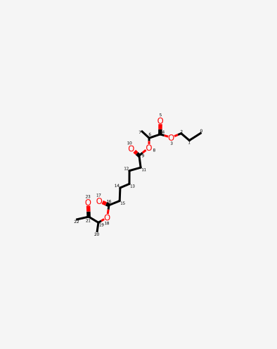 CCCOC(=O)C(C)OC(=O)CCCCCC(=O)OC(C)C(C)=O